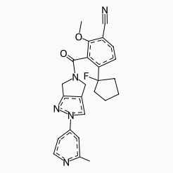 COc1c(C#N)ccc(C2(F)CCCC2)c1C(=O)N1Cc2cn(-c3ccnc(C)c3)nc2C1